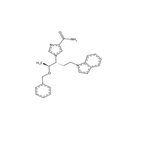 C[C@H](OCc1ccccc1)[C@@H](CCn1ccc2ccccc21)n1cnc(C(N)=O)c1